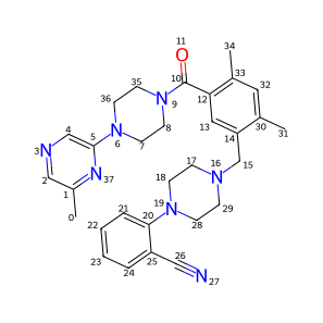 Cc1cncc(N2CCN(C(=O)c3cc(CN4CCN(c5ccccc5C#N)CC4)c(C)cc3C)CC2)n1